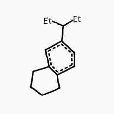 CCC(CC)c1ccc2c(c1)CCCC2